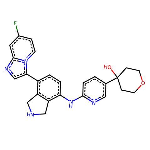 OC1(c2ccc(Nc3ccc(-c4cnc5cc(F)ccn45)c4c3CNC4)nc2)CCOCC1